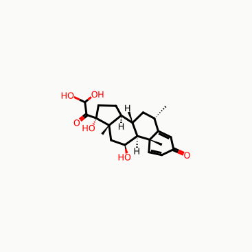 C[C@H]1C[C@@H]2[C@H]([C@@H](O)C[C@@]3(C)[C@H]2CC[C@]3(O)C(=O)C(O)O)[C@@]2(C)C=CC(=O)C=C12